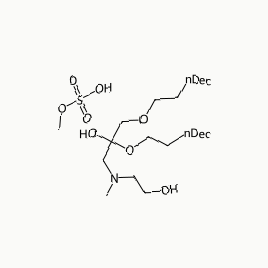 CCCCCCCCCCCCOCC(O)(CN(C)CCO)OCCCCCCCCCCCC.COS(=O)(=O)O